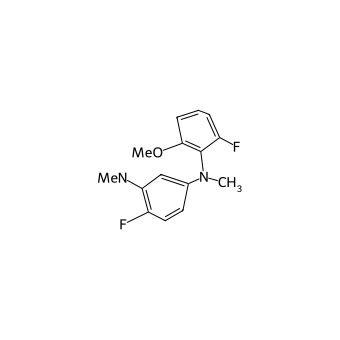 CNc1cc(N(C)c2c(F)cccc2OC)ccc1F